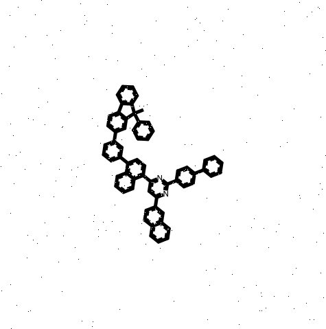 CC1(c2ccccc2)c2ccccc2-c2ccc(-c3cccc(-c4ccc(-c5cc(-c6ccc7ccccc7c6)nc(-c6ccc(-c7ccccc7)cc6)n5)c5ccccc45)c3)cc21